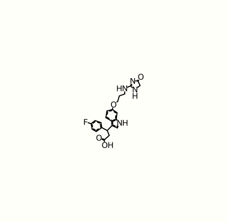 O=C(O)CC(c1ccc(F)cc1)c1c[nH]c2cc(OCCCNC3=NC(=O)CN3)ccc12